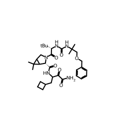 CC(C)(COCc1ccccc1)NC(=O)N[C@H](C(=O)N1CC2C([C@H]1C(=O)NC(CC1CCC1)C(=O)C(N)=O)C2(C)C)C(C)(C)C